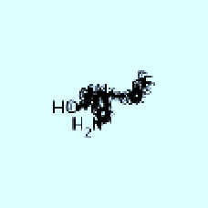 Cn1c(=O)n(CCCO)c(=O)c2c1nc(CCCOc1cccc(OC(F)(F)F)c1)n2Cc1ccc(N)cc1